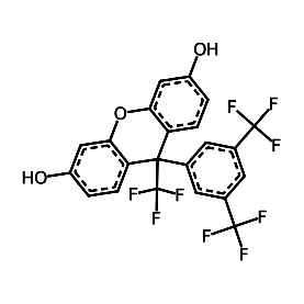 Oc1ccc2c(c1)Oc1cc(O)ccc1C2(c1cc(C(F)(F)F)cc(C(F)(F)F)c1)C(F)(F)F